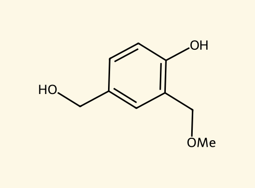 COCc1cc(CO)ccc1O